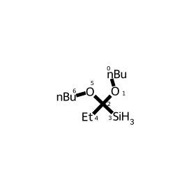 CCCCOC([SiH3])(CC)OCCCC